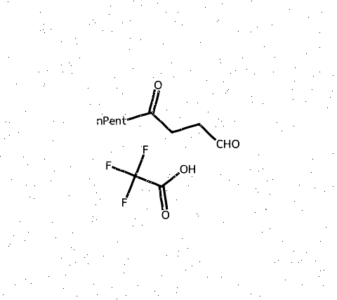 CCCCCC(=O)CCC=O.O=C(O)C(F)(F)F